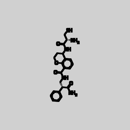 NC(=O)[C@@H](CNC(=O)c1cccc2c1OCCC2NC(=O)[C@@H](N)CS)c1ccccc1